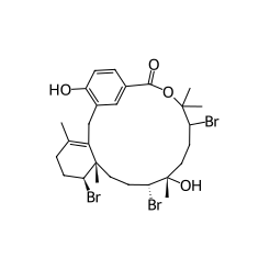 CC1=C2Cc3cc(ccc3O)C(=O)OC(C)(C)C(Br)CC[C@](C)(O)[C@H](Br)CC[C@]2(C)[C@@H](Br)CC1